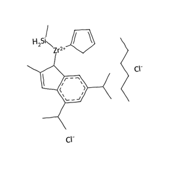 CCCCCC.C[SiH2][Zr+2]([C]1=CC=CC1)[CH]1C(C)=Cc2c(C(C)C)cc(C(C)C)cc21.[Cl-].[Cl-]